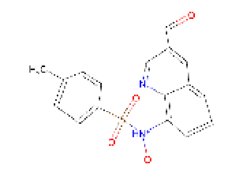 Cc1ccc(S(=O)(=O)[NH+]([O-])c2cccc3cc(C=O)cnc23)cc1